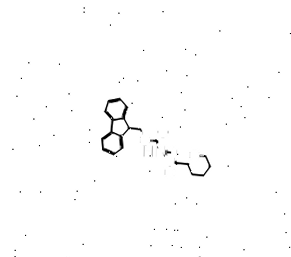 O=C(NOC(=O)C1CCCCO1)OCC1c2ccccc2-c2ccccc21